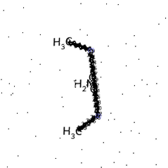 CCCCCCCC/C=C\CCCCCCCCOCC(N)COCCCCCCCC/C=C\CCCCCCCC